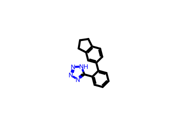 c1ccc(-c2nnn[nH]2)c(-c2ccc3c(c2)CCC3)c1